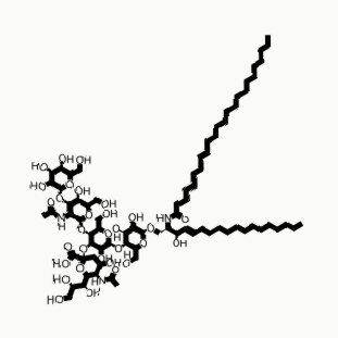 CCCCCCCCCCCCC/C=C/[C@@H](O)[C@H](CO[C@@H]1OC(CO)[C@@H](O[C@@H]2OC(CO)[C@H](O[C@@H]3OC(CO)[C@H](O)[C@H](O[C@@H]4OC(CO)[C@H](O)[C@H](O)C4O)C3NC(C)=O)[C@H](O[C@]3(C(=O)O)CC(O)[C@@H](NC(C)=O)C([C@H](O)[C@H](O)CO)O3)C2O)[C@H](O)C1O)NC(=O)CCCCCCCCCCCCCCCCCCCCCCC